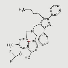 CCCCn1c(-c2ccccc2)nc(-c2ccccc2)c1CN(Cc1ccc(O)cc1)Cc1ccc(OC(F)F)c(C)c1